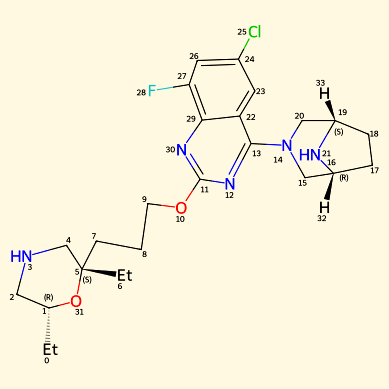 CC[C@@H]1CNC[C@](CC)(CCCOc2nc(N3C[C@H]4CC[C@@H](C3)N4)c3cc(Cl)cc(F)c3n2)O1